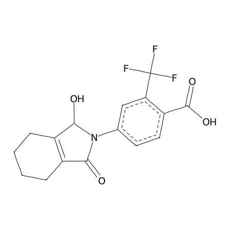 O=C(O)c1ccc(N2C(=O)C3=C(CCCC3)C2O)cc1C(F)(F)F